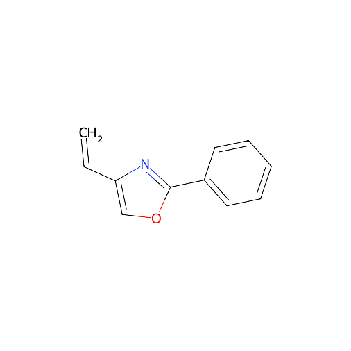 C=Cc1coc(-c2ccccc2)n1